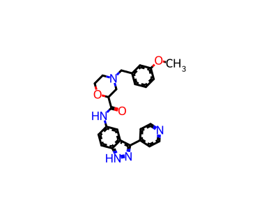 COc1cccc(CN2CCOC(C(=O)Nc3ccc4[nH]nc(-c5ccncc5)c4c3)C2)c1